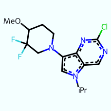 COC1CCN(c2cn(C(C)C)c3cnc(Cl)nc23)CC1(F)F